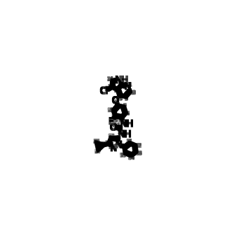 O=C(Nc1ccc(Oc2ccnc3[nH]cc(Cl)c23)cc1F)Nc1cc(C2CC2)nn1-c1ccccc1